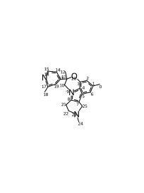 Cc1cc2c3c(c1)c1c(n3CC(C)(c3ccnc(C)c3)O2)CCN(C)C1